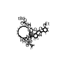 CCOc1cccc2c1oc1c(O[C@@H]3C[C@H]4C(=O)N[C@]5(C(=O)NS(=O)(=O)C6CC6)C[C@H]5/C=C\CCCCC[C@H](NC(=O)OC(C)(C)C)C(=O)N4C3)c3cc(F)ccc3nc12